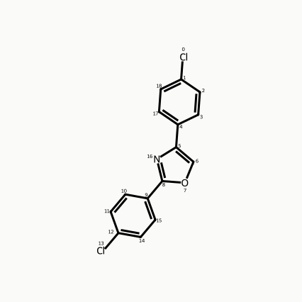 Clc1ccc(-c2[c]oc(-c3ccc(Cl)cc3)n2)cc1